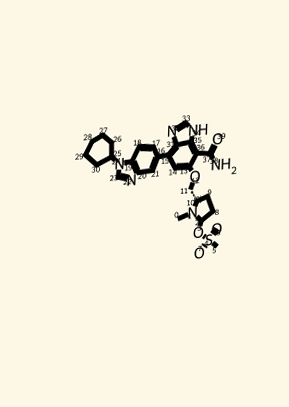 CN1C(OS(C)(=O)=O)CC[C@H]1COc1cc(-c2ccc3c(c2)ncn3C2CCCCC2)c2nc[nH]c2c1C(N)=O